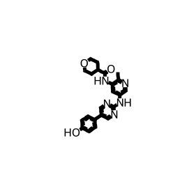 Cc1ncc(Nc2ncc(-c3ccc(O)cc3)cn2)cc1NC(=O)C1CCOCC1